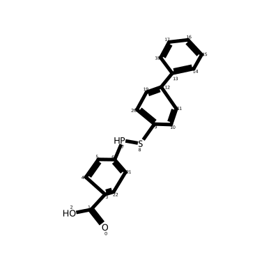 O=C(O)c1ccc(PSc2ccc(-c3ccccc3)cc2)cc1